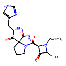 CCN1C(O)C(=O)[C@H]1C(=O)N1CCC[C@]1(C(N)=O)C(=O)[C@@H](N)Cc1c[nH]cn1